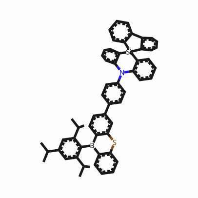 CC(C)c1cc(C(C)C)c(B2c3ccccc3Sc3cc(-c4ccc(N5c6ccccc6[Si]6(c7ccccc7-c7ccccc76)c6ccccc65)cc4)ccc32)c(C(C)C)c1